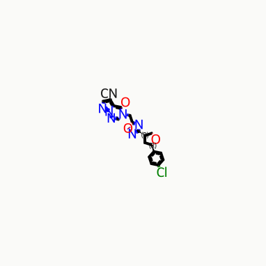 N#Cc1cnn2ncn(Cc3nc([C@@H]4CO[C@@H](c5ccc(Cl)cc5)C4)no3)c(=O)c12